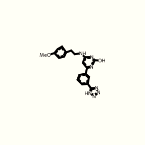 COc1ccc(CCNc2cc(-c3cccc(-c4nnn[nH]4)c3)nc(O)n2)cc1